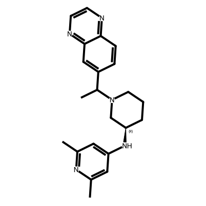 Cc1cc(N[C@@H]2CCCN(C(C)c3ccc4nccnc4c3)C2)cc(C)n1